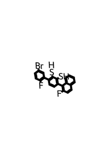 Fc1ccc(Br)cc1-c1ccc(-c2c(F)ccc3ccccc23)c(S)c1S